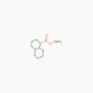 O=C([O][SbH2])c1cccc2ccccc12